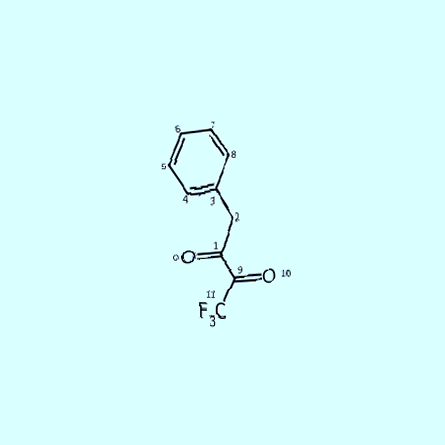 O=C(Cc1ccccc1)C(=O)C(F)(F)F